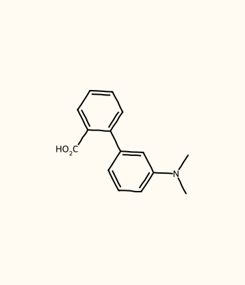 CN(C)c1cccc(-c2ccccc2C(=O)O)c1